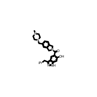 CC(C)Cc1n[nH]c2cc(O)c(C(=O)N3Cc4ccc(CN5CCN(C)CC5)cc4C3)cc12